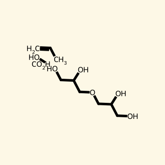 C=CC.O=C(O)O.OCC(O)COCC(O)CO